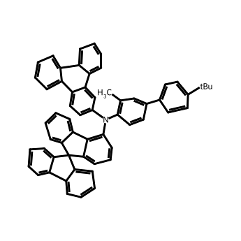 Cc1cc(-c2ccc(C(C)(C)C)cc2)ccc1N(c1ccc2c3ccccc3c3ccccc3c2c1)c1cccc2c1-c1ccccc1C21c2ccccc2-c2ccccc21